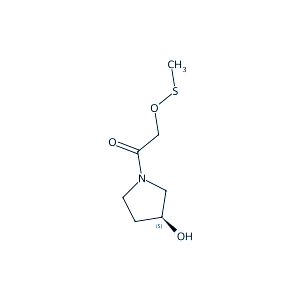 CSOCC(=O)N1CC[C@H](O)C1